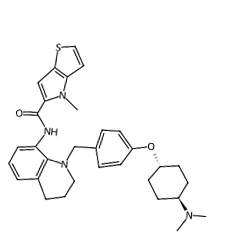 Cn1c(C(=O)Nc2cccc3c2N(Cc2ccc(O[C@H]4CC[C@H](N(C)C)CC4)cc2)CCC3)cc2sccc21